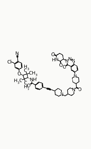 CC1(C)[C@H](NC(=O)c2ccc(C#CC3CCN(CC4CCN(C(=O)C5CCN(c6ccc7nnn(C8CCC(=O)NC8=O)c(=O)c7c6)CC5)CC4)CC3)cc2)C(C)(C)[C@H]1Oc1ccc(C#N)c(Cl)c1